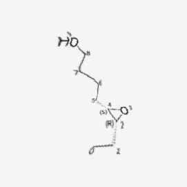 CC[C@H]1O[C@H]1CCCCO